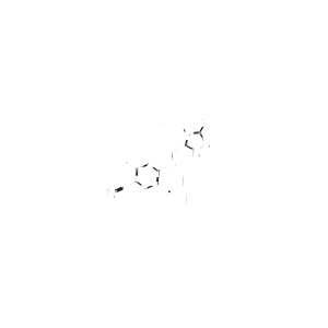 Cn1c(COc2cc(Cl)c(C#N)cc2C(C)(C)C)n[nH]c1=O